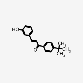 CC(C)(C)c1ccc(C(=O)C=Cc2cccc(O)c2)cc1